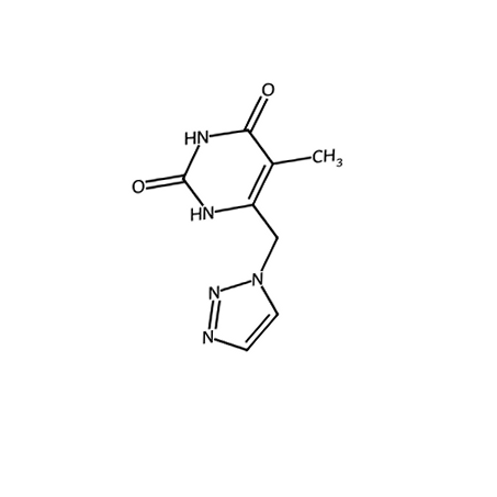 Cc1c(Cn2ccnn2)[nH]c(=O)[nH]c1=O